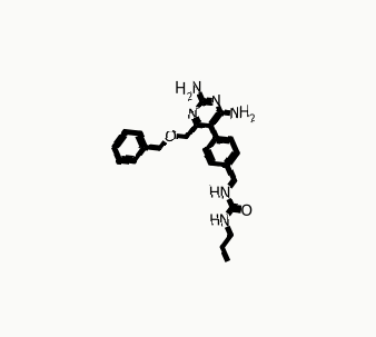 CCCNC(=O)NCc1ccc(-c2c(N)nc(N)nc2COCc2ccccc2)cc1